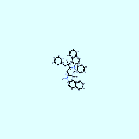 CN1/C(=C/C2=[N+](C)c3ccc4ccccc4c3C2(C)Cc2ccccc2)C(C)(Cc2ccccc2)c2c1ccc1ccccc21